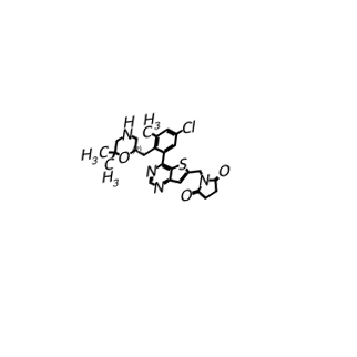 Cc1cc(Cl)cc(-c2ncnc3cc(CN4C(=O)CCC4=O)sc23)c1C[C@@H]1CNCC(C)(C)O1